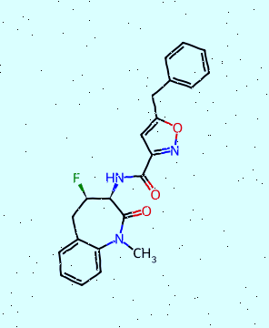 CN1C(=O)[C@H](NC(=O)c2cc(Cc3ccccc3)on2)[C@H](F)Cc2ccccc21